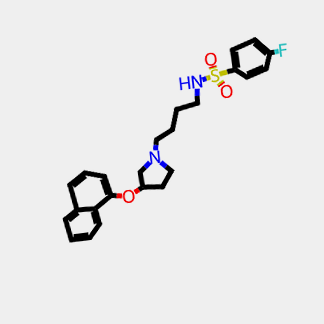 O=S(=O)(NCCCCN1CCC(Oc2cccc3ccccc23)C1)c1ccc(F)cc1